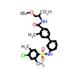 Cc1cc(S(=O)(=O)Nc2cccc(-c3ccc(C(=O)NC(COC(C)(C)C)C(=O)O)c(C)c3)c2)c(C)cc1Cl